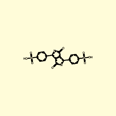 O=c1nc(-c2ccc(S(=O)(=O)O)cc2)c2c(=O)nc(-c3ccc(S(=O)(=O)O)cc3)c1=2